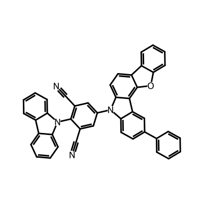 N#Cc1cc(-n2c3ccc(-c4ccccc4)cc3c3c4oc5ccccc5c4ccc32)cc(C#N)c1-n1c2ccccc2c2ccccc21